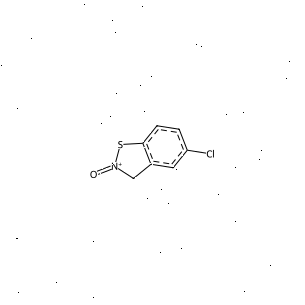 O=[N+]1Cc2cc(Cl)ccc2S1